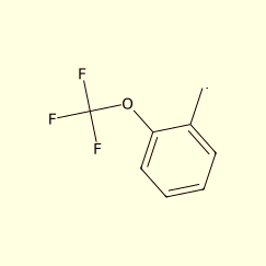 [CH2]c1ccccc1OC(F)(F)F